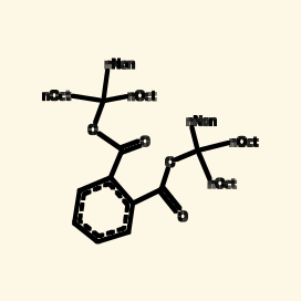 CCCCCCCCCC(CCCCCCCC)(CCCCCCCC)OC(=O)c1ccccc1C(=O)OC(CCCCCCCC)(CCCCCCCC)CCCCCCCCC